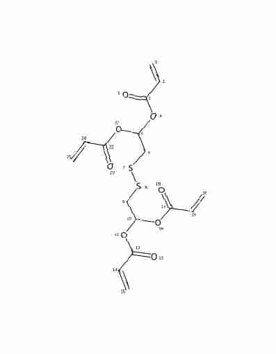 C=CC(=O)OC(CSSCC(OC(=O)C=C)OC(=O)C=C)OC(=O)C=C